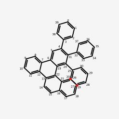 c1ccc(-c2cc3c4ccccc4c4ccc5ccccc5c4c3c(-c3ccccc3)c2-c2ccccc2)cc1